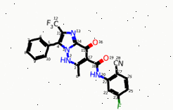 Cc1[nH]n2c(-c3ccccc3)c(C(F)(F)F)nc2c(=O)c1C(=O)Nc1cc(F)ccc1C#N